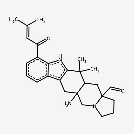 CC(C)=CC(=O)c1cccc2c3c([nH]c12)C(C)(C)C1CC2(C=O)CCCN2CC1(N)C3